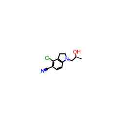 C[C@H](O)CN1CCc2c1ccc(C#N)c2Cl